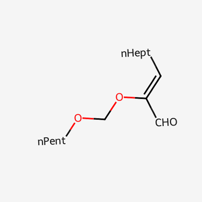 CCCCCCCC=C(C=O)OCOCCCCC